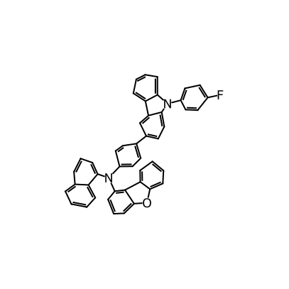 Fc1ccc(-n2c3ccccc3c3cc(-c4ccc(N(c5cccc6ccccc56)c5cccc6oc7ccccc7c56)cc4)ccc32)cc1